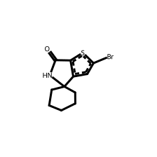 O=C1NC2(CCCCC2)c2cc(Br)sc21